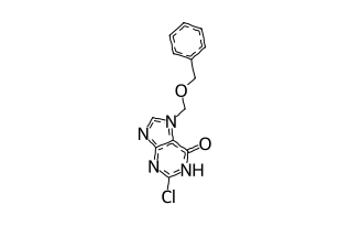 O=c1[nH]c(Cl)nc2ncn(COCc3ccccc3)c12